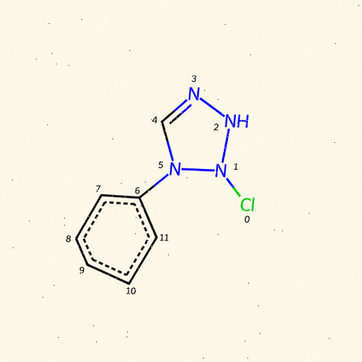 ClN1NN=CN1c1ccccc1